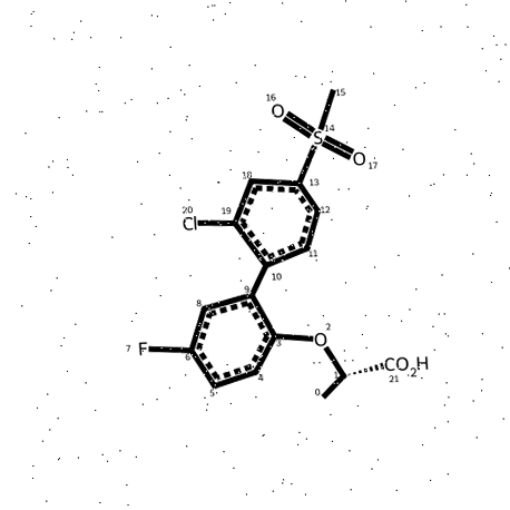 C[C@H](Oc1ccc(F)cc1-c1ccc(S(C)(=O)=O)cc1Cl)C(=O)O